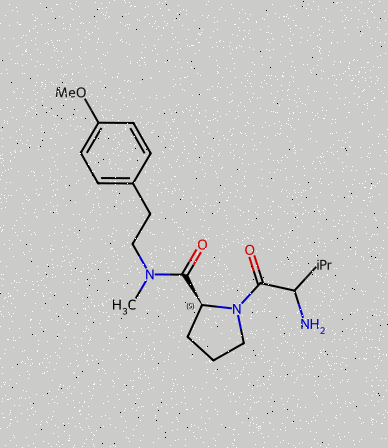 COc1ccc(CCN(C)C(=O)[C@@H]2CCCN2C(=O)C(N)C(C)C)cc1